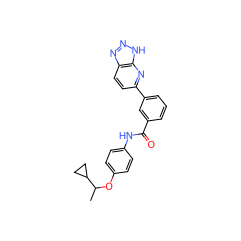 CC(Oc1ccc(NC(=O)c2cccc(-c3ccc4nn[nH]c4n3)c2)cc1)C1CC1